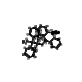 COc1ccccc1P(CC(C)(C)C(P)(c1ccccc1)c1ccccc1)c1ccccc1OC